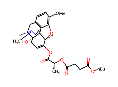 CCCCOC(=O)CCC(=O)O[C@@H](C)C(=O)OC1=CC[C@@]2(O)[C@H]3Cc4ccc(OC)c5c4[C@@]2(CCN3C)[C@H]1O5